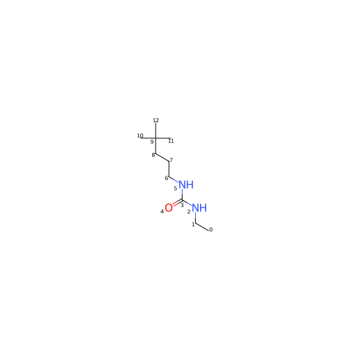 CCNC(=O)NCCCC(C)(C)C